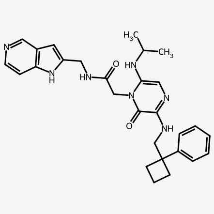 CC(C)Nc1cnc(NCC2(c3ccccc3)CCC2)c(=O)n1CC(=O)NCc1cc2cnccc2[nH]1